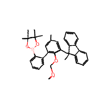 COCOc1c(-c2ccccc2B2OC(C)(C)C(C)(C)O2)cc(C)cc1C1(C)c2ccccc2-c2ccccc21